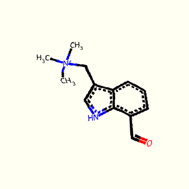 C[N+](C)(C)Cc1c[nH]c2c(C=O)cccc12